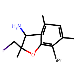 Cc1cc(C)c2c(c1C(C)C)OC(C)(CI)C2N